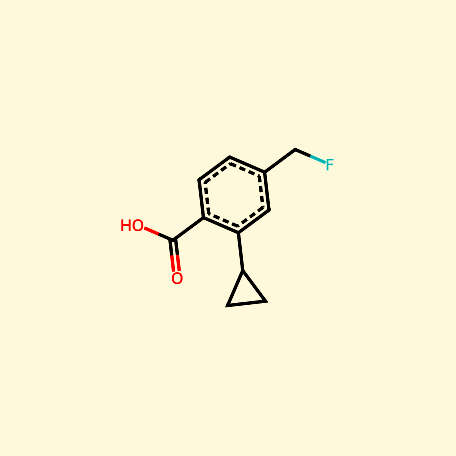 O=C(O)c1ccc(CF)cc1C1CC1